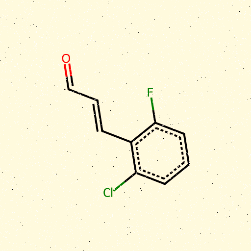 O=[C]/C=C/c1c(F)cccc1Cl